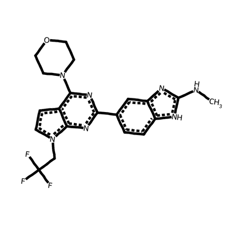 CNc1nc2cc(-c3nc(N4CCOCC4)c4ccn(CC(F)(F)F)c4n3)ccc2[nH]1